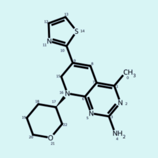 Cc1nc(N)nc2c1C=C(c1nccs1)CN2[C@@H]1CCCOC1